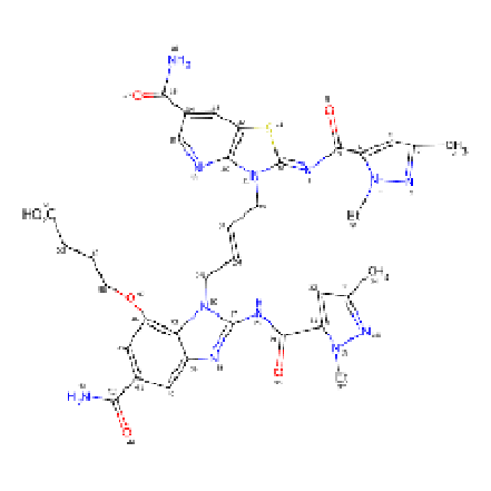 CCn1nc(C)cc1C(=O)/N=c1\sc2cc(C(N)=O)cnc2n1C/C=C/Cn1c(NC(=O)c2cc(C)nn2CC)nc2cc(C(N)=O)cc(OCCCC(=O)O)c21